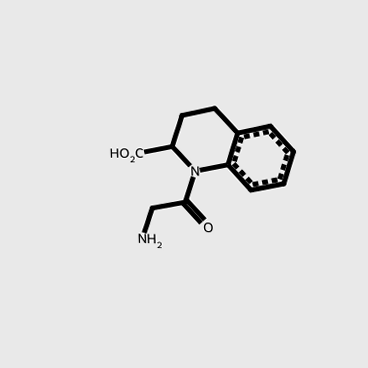 NCC(=O)N1c2ccccc2CCC1C(=O)O